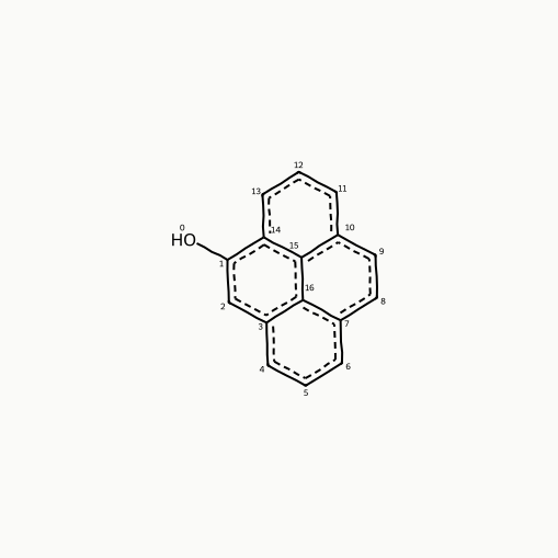 Oc1cc2cccc3ccc4cccc1c4c32